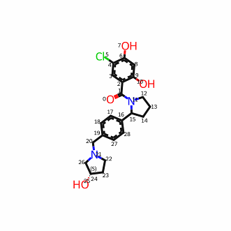 O=C(c1cc(Cl)c(O)cc1O)N1CCCC1c1ccc(CN2CC[C@H](O)C2)cc1